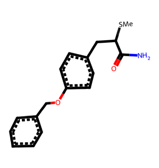 CSC(Cc1ccc(OCc2ccccc2)cc1)C(N)=O